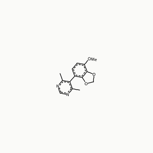 COc1ccc(-c2c(C)ncnc2C)c2c1OCO2